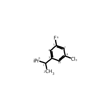 CC(C)C(C)c1cc(F)cc(Cl)c1